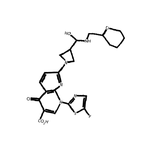 O=C(O)c1cn(-c2ncc(F)s2)c2nc(N3CC(C(O)NCC4CCCCO4)C3)ccc2c1=O